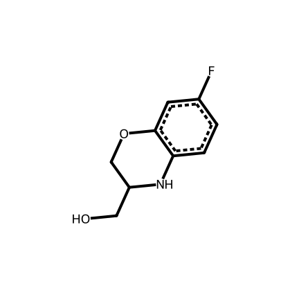 OCC1COc2cc(F)ccc2N1